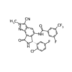 Cn1nc2c3c(c(NC(=O)c4cc(F)cc(C(F)(F)F)c4)cc2c1C#N)[C@H](c1cc(F)ccc1Cl)NC3=O